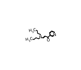 CCCCN(C=CC(=O)c1cccnc1)CCCC